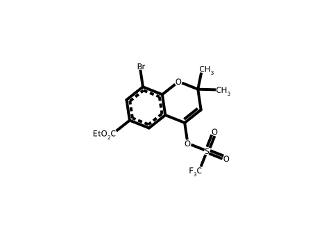 CCOC(=O)c1cc(Br)c2c(c1)C(OS(=O)(=O)C(F)(F)F)=CC(C)(C)O2